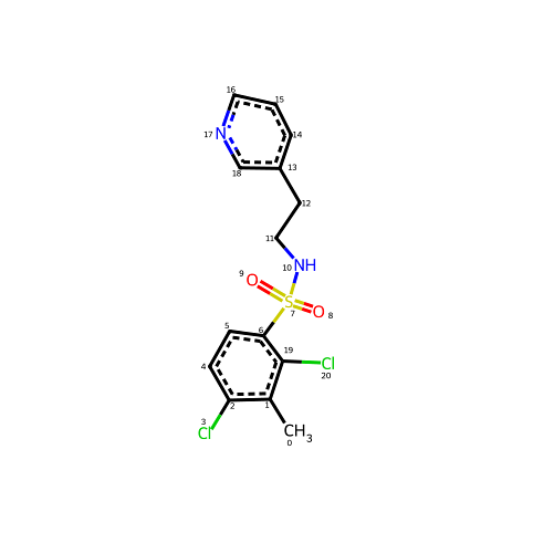 Cc1c(Cl)ccc(S(=O)(=O)NCCc2cccnc2)c1Cl